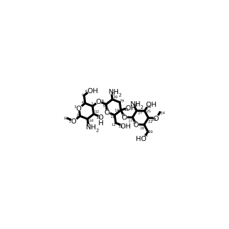 COC1OC(CO)C(OC2OC(CO)C(O)(OC3OC(CO)C(OC)C(O)C3N)CC2N)C(O)C1N